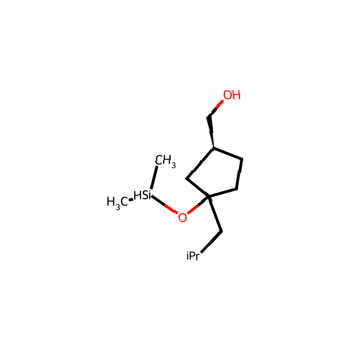 CC(C)CC1(O[SiH](C)C)CC[C@H](CO)C1